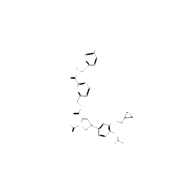 CC(=O)N1CC(c2ccc(OC(F)F)c(OCC3CC3)c2)C[C@@H]1C(=O)NCc1cccc(C(=O)N(C)Cc2ccc(F)cn2)n1